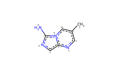 Cc1cnc2cnc(N)n2c1